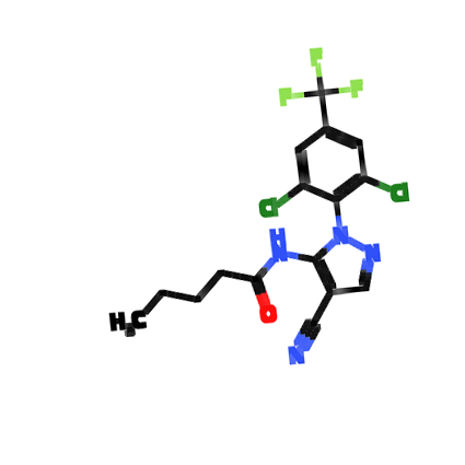 CCCCC(=O)Nc1c(C#N)cnn1-c1c(Cl)cc(C(F)(F)F)cc1Cl